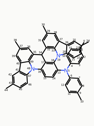 Cc1ccc(N(c2ccc(C)cc2)c2ccc3c4c2-n2c5ccc(C)cc5c5cc(C)cc(c52)C4c2cc(C)cc4c5cc(C)ccc5n-3c24)cc1